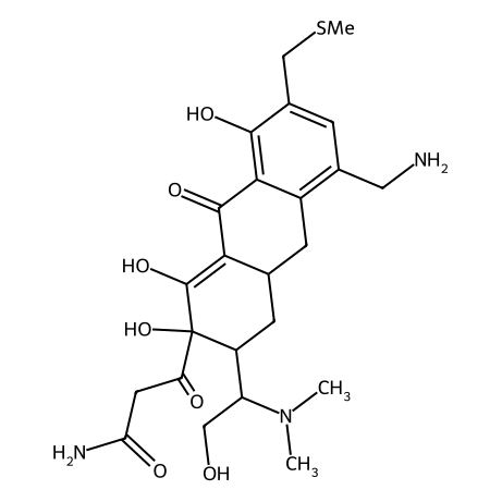 CSCc1cc(CN)c2c(c1O)C(=O)C1=C(O)C(O)(C(=O)CC(N)=O)C(C(CO)N(C)C)CC1C2